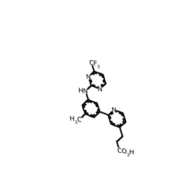 Cc1cc(Nc2nccc(C(F)(F)F)n2)cc(-c2cc(CCC(=O)O)ccn2)c1